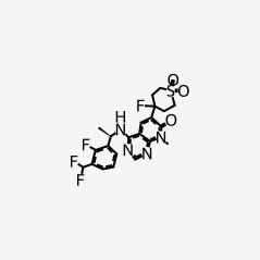 C[C@@H](Nc1ncnc2c1cc(C1(F)CCS(=O)(=O)CC1)c(=O)n2C)c1cccc(C(F)F)c1F